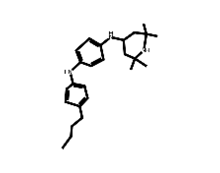 CCCCc1ccc(Nc2ccc(NC3CC(C)(C)NC(C)(C)C3)cc2)cc1